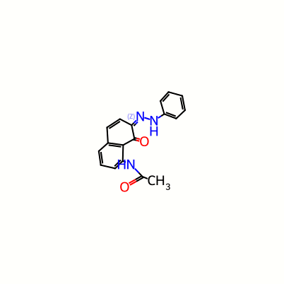 CC(=O)Nc1cccc2c1C(=O)/C(=N\Nc1ccccc1)C=C2